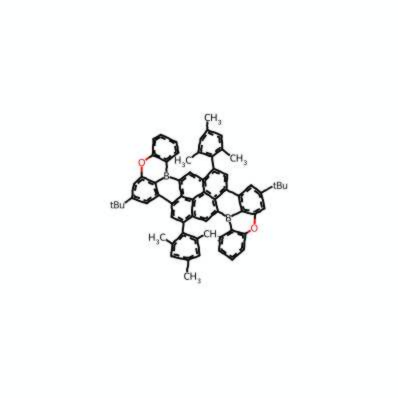 Cc1cc(C)c(-c2cc3c4c(cc5c(-c6c(C)cc(C)cc6C)cc6c7c(cc2c4c57)B2c4ccccc4Oc4cc(C(C)(C)C)cc-6c42)B2c4ccccc4Oc4cc(C(C)(C)C)cc-3c42)c(C)c1